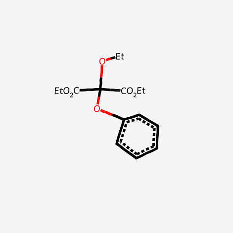 CCOC(=O)C(OCC)(Oc1ccccc1)C(=O)OCC